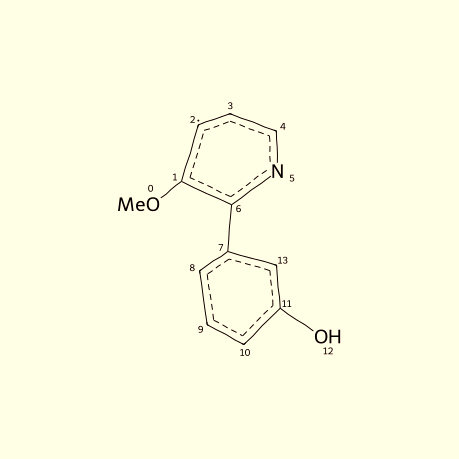 COc1[c]ccnc1-c1cccc(O)c1